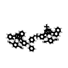 CC(C)(C)c1ccc2c(c1)c1cc(C(C)(C)Cc3ccc(N(c4ccccc4)c4ccc5c(c4)c4c6ccccc6ccc4n5-c4c(C#N)ccc(C#N)c4-n4c5ccccc5c5ccccc54)cc3)ccc1n2-c1c(C#N)ccc(C#N)c1-n1c2ccccc2c2c3ccccc3ccc21